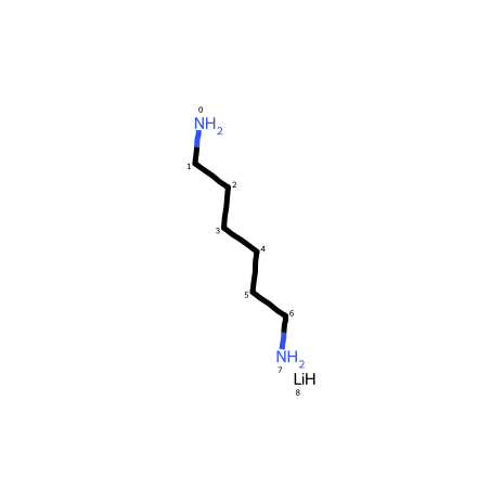 NCCCCCCN.[LiH]